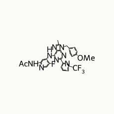 COc1ccc(Cn2c(C)nc3c(Nc4cc(NC(C)=O)ncc4F)nc(-c4cccc(C(F)(F)F)n4)nc32)cc1